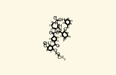 COCOc1ccc(OC)cc1C(=O)c1ccc(C(=O)OC2=CC=CN(C(=O)O)C=C2NC(=O)c2cc(F)ccc2OCc2ccccc2)cc1